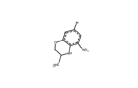 O=CC1COc2cc(Br)cc([N+](=O)[O-])c2N1